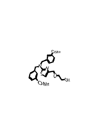 COc1cccc(CN(Cc2cccc(OC)c2)c2nc(COCCO)cs2)c1